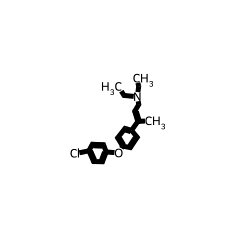 CCN(CC)CC=C(C)c1ccc(Oc2ccc(Cl)cc2)cc1